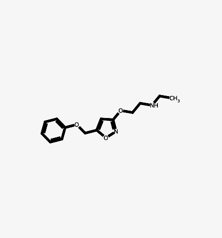 CCNCCOc1cc(COc2ccccc2)on1